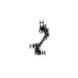 CN(CCOCCCCCCNCC(O)c1ccc(O)c(CO)c1)Cc1cccc(N2C(=O)CNC2=O)c1